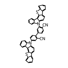 N#Cc1cc(-n2c3ccccc3c3c4sc5ccccc5c4ccc32)ccc1-c1ccc(C#N)c(-n2c3ccccc3c3c4sc5ccccc5c4ccc32)c1